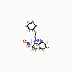 O=[N+]([O-])C[C@](NCCc1ccccc1)(c1ccccc1)C(F)(F)F